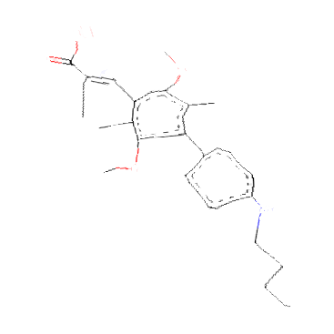 CCCCNc1ccc(-c2c(C)c(OC)c(/C=C(\C)C(=O)O)c(C)c2OC)cc1